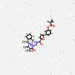 CCCCC[C@@H](C(=O)NCNC(=O)c1ccc(-c2cccc(OC(=O)C3(C)CC3)c2)o1)[C@@H](CC)N(C=O)OCc1ccccc1